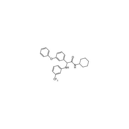 O=C(NC1CCCCC1)C(Nc1cccc(C(F)(F)F)c1)c1cccc(Oc2ccccc2)c1